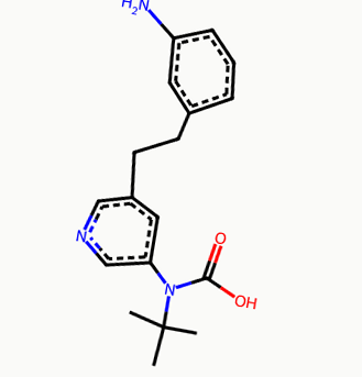 CC(C)(C)N(C(=O)O)c1cncc(CCc2cccc(N)c2)c1